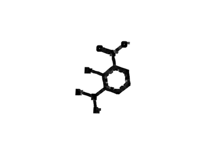 O=[N+]([O-])c1cccc(N(Br)Br)c1Br